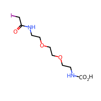 O=C(O)NCCOCCOCCNC(=O)CI